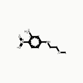 COCCNc1[c]cc([SH](=O)=O)c(N)c1